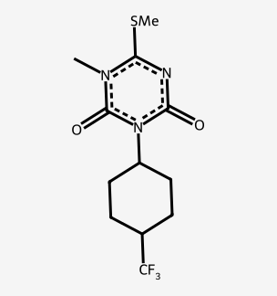 CSc1nc(=O)n(C2CCC(C(F)(F)F)CC2)c(=O)n1C